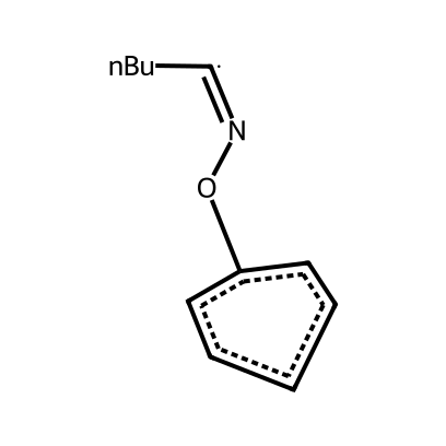 CCCC/[C]=N\Oc1ccccc1